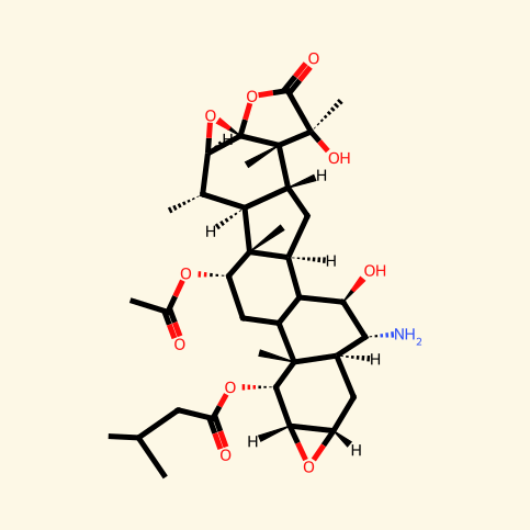 CC(=O)O[C@H]1CC2C([C@@H](O)[C@H](N)[C@H]3C[C@@H]4O[C@@H]4[C@H](OC(=O)CC(C)C)[C@]23C)[C@@H]2C[C@@H]3[C@H]([C@H](C)[C@H]4O[C@]45OC(=O)[C@@](C)(O)[C@]35C)[C@@]12C